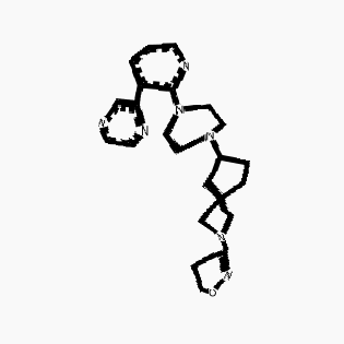 c1cnc(N2CCN(C3CCC4(C3)CN(C3=NOCC3)C4)CC2)c(-c2cnccn2)c1